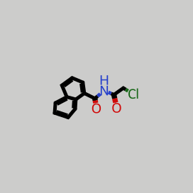 O=C(CCl)NC(=O)c1cccc2ccccc12